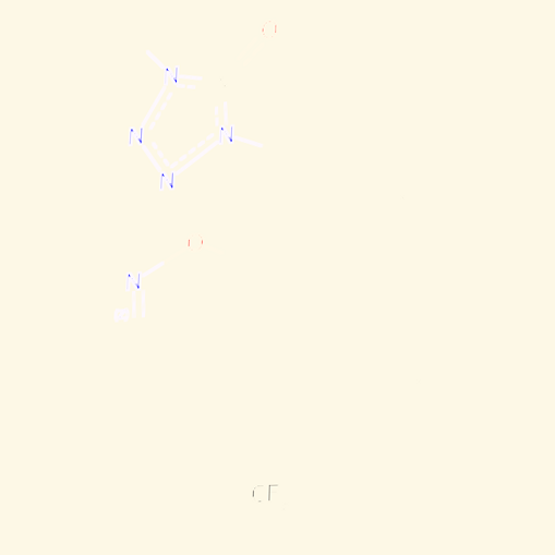 C/C(=N/OCc1c(C)cccc1-n1nnn(C)c1=O)c1ccc(CC2CC2)c(C(F)(F)F)c1